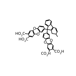 CC1C=CC2=C(C1)C(c1ccc3c(c1)Oc1cc(C(=O)O)c(C(=O)O)cc1O3)(c1ccc3c(c1)Oc1cc(C(=O)O)c(C(=O)O)cc1O3)c1ccccc12